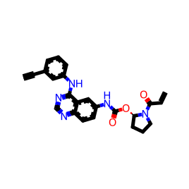 C#Cc1cccc(Nc2ncnc3ccc(NC(=O)O[C@H]4CCCN4C(=O)C=C)cc23)c1